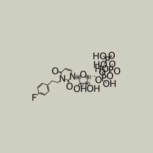 O=c1ccn([C@@H]2O[C@H](COP(=O)(O)OP(=O)(O)OP(=O)(O)O)[C@H](O)[C@@H]2O)c(=O)n1CCc1ccc(F)cc1